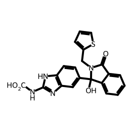 O=C(O)Nc1nc2cc(C3(O)c4ccccc4C(=O)N3Cc3cccs3)ccc2[nH]1